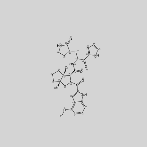 COc1cccc2[nH]c(C(=O)N3C[C@@H]4CCC[C@@H]4[C@H]3C(=O)NC(C[C@@H]3CCNC3=O)C(=O)c3ncc[nH]3)cc12